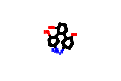 Nc1ccc(O)c(-c2cccc(O)c2-c2cc(N)ccc2O)c1